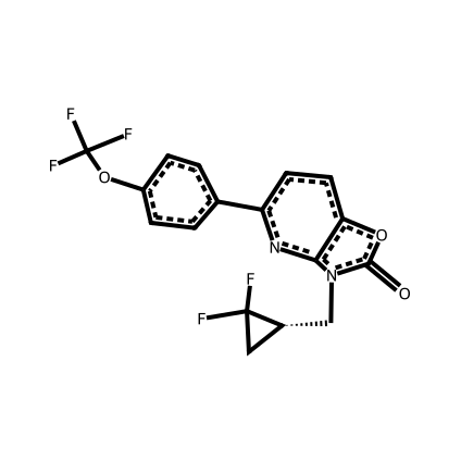 O=c1oc2ccc(-c3ccc(OC(F)(F)F)cc3)nc2n1C[C@@H]1CC1(F)F